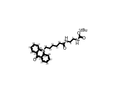 CC(C)(C)OC(=O)NCCNC(=O)CCCCCn1c2ccccc2c(=O)c2ccccc21